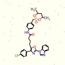 CC1CC(C)OP(=O)(Cc2ccc(NC(=O)CCCc3oc(-n4cnc5ccccc54)nc3-c3ccc(Cl)cc3)cc2)O1